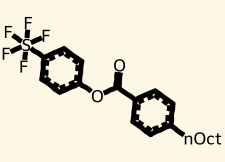 CCCCCCCCc1ccc(C(=O)Oc2ccc(S(F)(F)(F)(F)F)cc2)cc1